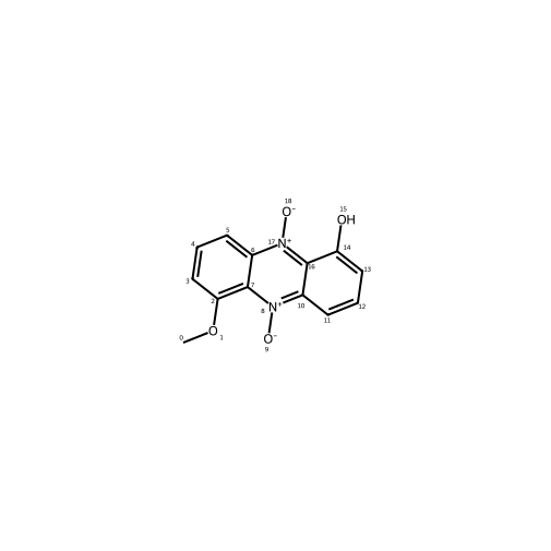 COc1cccc2c1[n+]([O-])c1cccc(O)c1[n+]2[O-]